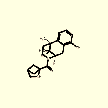 CC1(C)[C@H]2Cc3c(O)cccc3[C@]1(C)CCN2C(=O)C12CC(CN1)C2